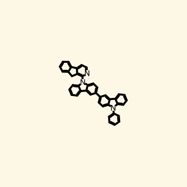 c1ccc(-n2c3ccccc3c3cc(-c4ccc5c(c4)c4ccccc4n5-c4nccc5c4Cc4ccccc4-5)ccc32)cc1